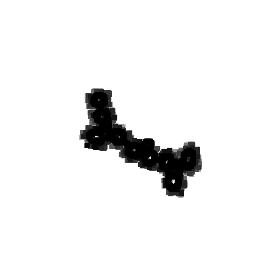 C1=CC2c3cc(C4=CC5Oc6cc(-c7ccc8c(c7)C7C=CC=CC7N8c7ccc(-c8ccccc8)cc7)ccc6C5C=C4)ccc3N(c3ccccc3)C2C=C1